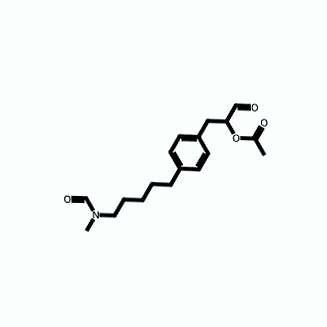 CC(=O)OC(C=O)Cc1ccc(CCCCCN(C)C=O)cc1